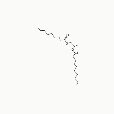 CCCCCCCCCC(=O)OCC(C)OC(=O)CCCCCCCCC